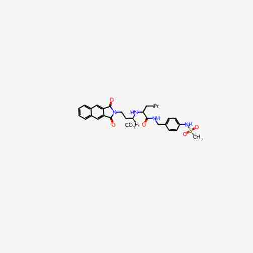 CC(C)CC(N[C@H](CCN1C(=O)c2cc3ccccc3cc2C1=O)C(=O)O)C(=O)NCc1ccc(NS(C)(=O)=O)cc1